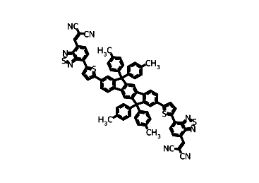 Cc1ccc(C2(c3ccc(C)cc3)c3cc(-c4ccc(-c5ccc(C=C(C#N)C#N)c6nsnc56)s4)ccc3-c3cc4c(cc32)-c2ccc(-c3ccc(-c5ccc(C=C(C#N)C#N)c6nsnc56)s3)cc2C4(c2ccc(C)cc2)c2ccc(C)cc2)cc1